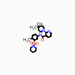 Cc1ccc(NC(=O)c2cccnc2N2CCC(C)(C)CC2)cc1S(=O)(=O)N1CCCCC1